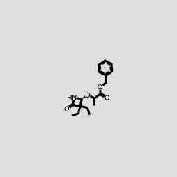 CCC1(CC)C(=O)N[C@H]1OC(C)C(=O)OCc1ccccc1